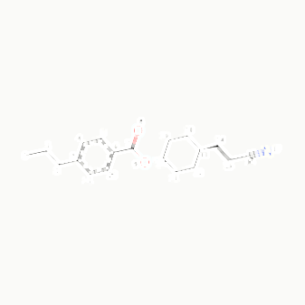 CCCc1ccc(C(=O)O[C@H]2CC[C@H](C=CC#N)CC2)cc1